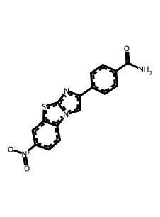 NC(=O)c1ccc(-c2cn3c(n2)sc2cc([N+](=O)[O-])ccc23)cc1